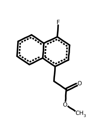 COC(=O)Cc1ccc(F)c2ccccc12